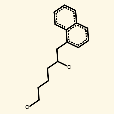 ClCCCCC(Cl)Cc1cccc2ccccc12